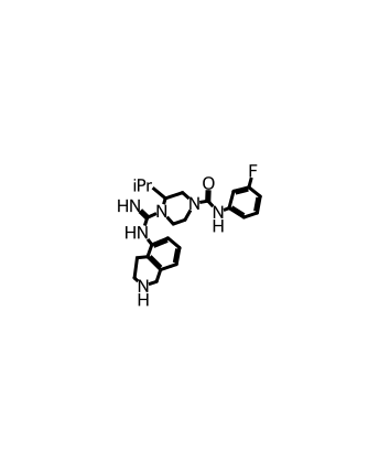 CC(C)C1CN(C(=O)Nc2cccc(F)c2)CCN1C(=N)Nc1cccc2c1CCNC2